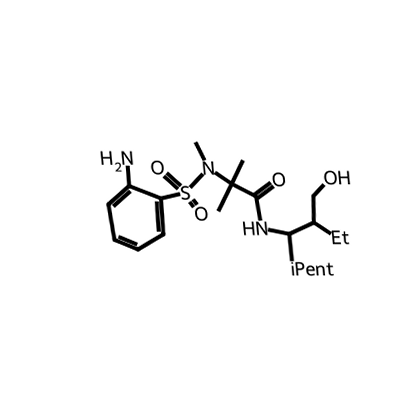 CCCC(C)C(NC(=O)C(C)(C)N(C)S(=O)(=O)c1ccccc1N)C(CC)CO